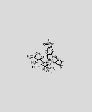 CC(C)[C@H](N)C(=O)N1C[C@H]2[C@@H]([C@H]1C(=O)N[C@@H](C[C@@H]1CCNC1=O)C(=O)COc1ccc(F)cc1F)C2(C)C.Cl